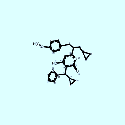 COc1ccc(CC(CC2CC2)c2cc(O)c(C(c3cccs3)C3CC3)c(=O)o2)cc1